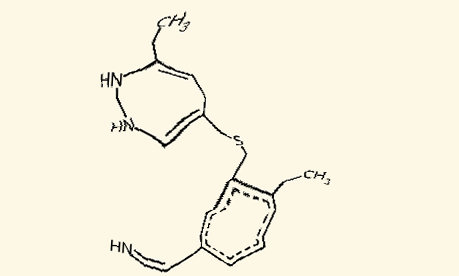 CC1=CC(Sc2cc(C=N)ccc2C)=CNN1